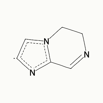 [c]1cn2c(n1)C=NCC2